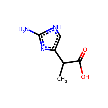 CC(C(=O)O)c1c[nH]c(N)n1